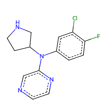 Fc1ccc(N(c2cnccn2)C2CCNC2)cc1Cl